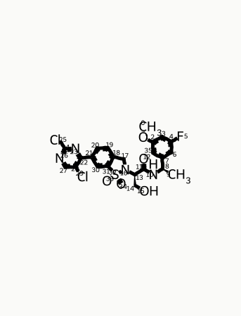 COc1cc(F)cc([C@@H](C)NC(=O)[C@@H](CO)N2Cc3ccc(-c4nc(Cl)ncc4Cl)cc3S2(=O)=O)c1